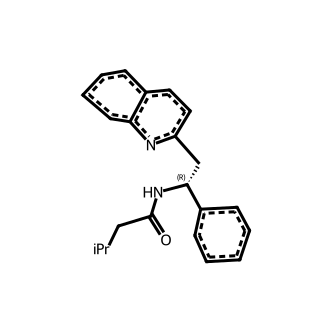 CC(C)CC(=O)N[C@H](Cc1ccc2ccccc2n1)c1ccccc1